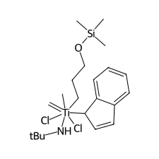 [CH2]=[Ti]([CH3])([Cl])([Cl])([CH2]CCO[Si](C)(C)C)([NH]C(C)(C)C)[CH]1C=Cc2ccccc21